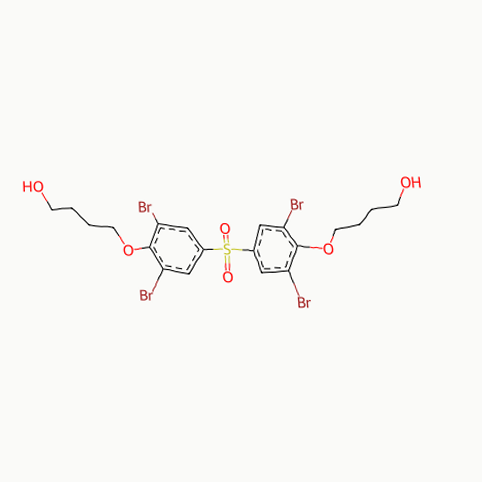 O=S(=O)(c1cc(Br)c(OCCCCO)c(Br)c1)c1cc(Br)c(OCCCCO)c(Br)c1